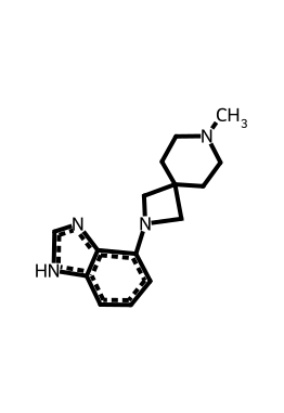 CN1CCC2(CC1)CN(c1cccc3[nH]cnc13)C2